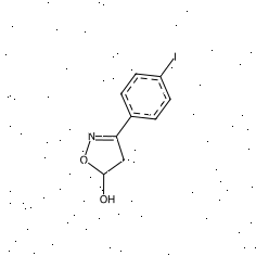 OC1CC(c2ccc(I)cc2)=NO1